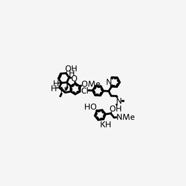 CN(C)CCC(c1ccc(Cl)cc1)c1ccccn1.CNC[C@H](O)c1cccc(O)c1.COc1ccc2c3c1O[C@H]1[C@@H](O)C=C[C@H]4[C@@H](C2)N(C)CC[C@@]341.[KH]